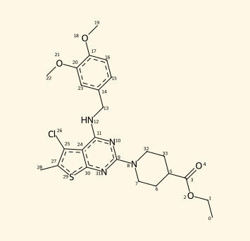 CCOC(=O)C1CCN(c2nc(NCc3ccc(OC)c(OC)c3)c3c(Cl)c(C)sc3n2)CC1